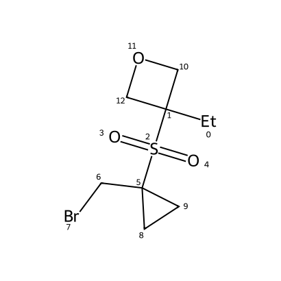 CCC1(S(=O)(=O)C2(CBr)CC2)COC1